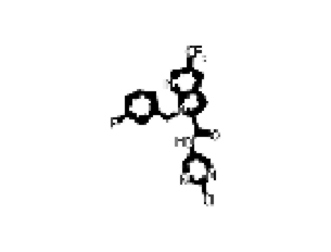 O=C(Nc1cnc(Cl)nc1)c1cc2cc(C(F)(F)F)cnc2n1Cc1cccc(F)c1